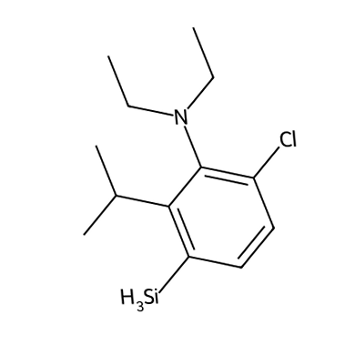 CCN(CC)c1c(Cl)ccc([SiH3])c1C(C)C